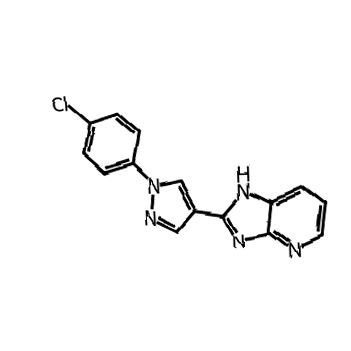 Clc1ccc(-n2cc(-c3nc4ncccc4[nH]3)cn2)cc1